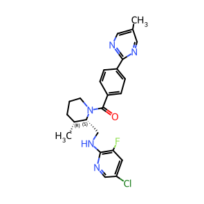 Cc1cnc(-c2ccc(C(=O)N3CCC[C@@H](C)[C@H]3CNc3ncc(Cl)cc3F)cc2)nc1